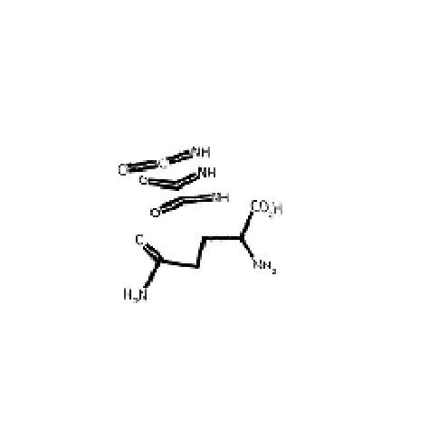 N=C=O.N=C=O.N=C=O.NC(=O)CCC(N)C(=O)O